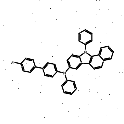 Brc1ccc(-c2ccc(N(c3ccccc3)c3ccc4c(c3)c3ccc5ccccc5c3n4-c3ccccc3)cc2)cc1